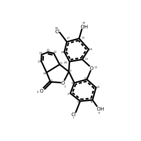 O=C1OC2(c3cc(Cl)c(O)cc3Oc3cc(O)c(Cl)cc32)C2C=CC=CC12